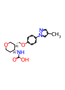 Cc1cnn(-c2ccc(OC[C@H]3COCC[C@H]3NC(=O)O)cc2)c1